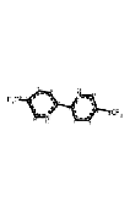 FC(F)(F)c1ccc(-c2ccc(C(F)(F)F)cn2)nc1